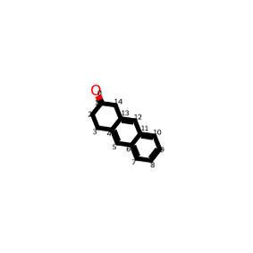 O=C1CCc2cc3ccccc3cc2C1